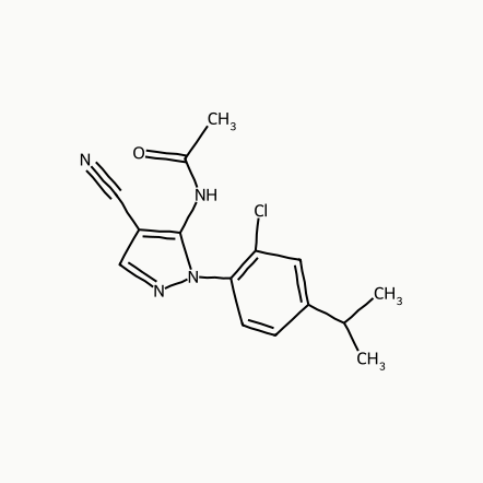 CC(=O)Nc1c(C#N)cnn1-c1ccc(C(C)C)cc1Cl